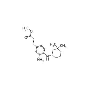 COC(=O)CCc1ccc(NC2CCCC(C)(C)C2)c(N)c1